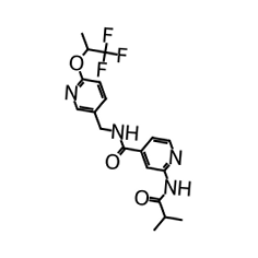 CC(C)C(=O)Nc1cc(C(=O)NCc2ccc(OC(C)C(F)(F)F)nc2)ccn1